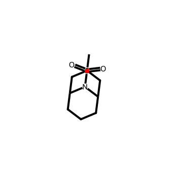 CS(=O)(=O)N1C2CCCC1CCC2